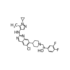 Cc1c(Nc2ncc3cc(Cl)c(C4CCN(C[C@@H](O)c5ccc(F)c(F)c5)CC4)cc3n2)cnn1C1CC1